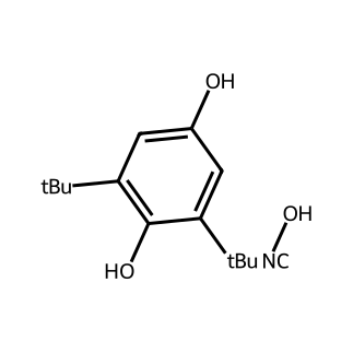 CC(C)(C)c1cc(O)cc(C(C)(C)C)c1O.N#CO